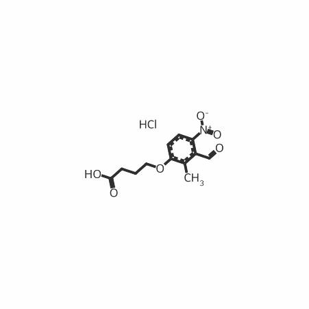 Cc1c(OCCCC(=O)O)ccc([N+](=O)[O-])c1C=O.Cl